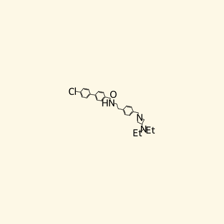 CCN(CC)C1CN(Cc2ccc(CCNC(=O)c3ccc(-c4ccc(Cl)cc4)cc3)cc2)C1